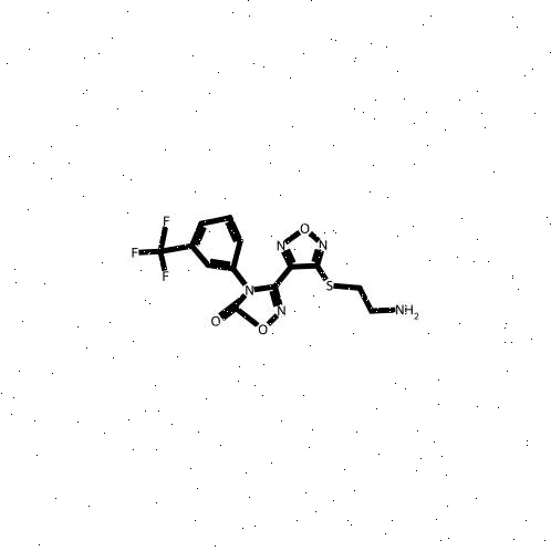 NCCSc1nonc1-c1noc(=O)n1-c1cccc(C(F)(F)F)c1